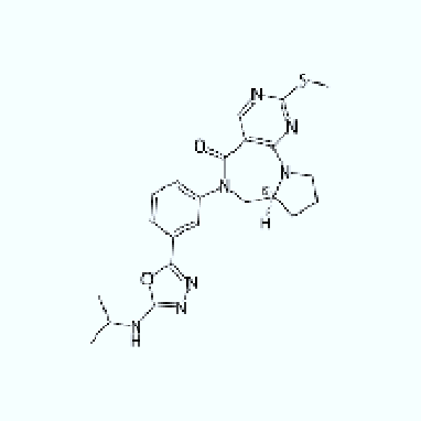 CSc1ncc2c(n1)N1CCC[C@H]1CN(c1cccc(-c3nnc(NC(C)C)o3)c1)C2=O